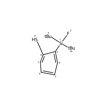 CC(C)(C)[Si](F)(c1ccccc1S)C(C)(C)C